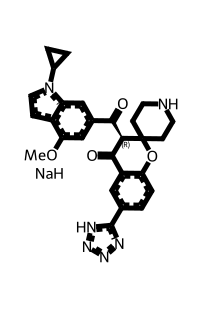 COc1cc(C(=O)[C@@H]2C(=O)c3cc(-c4nnn[nH]4)ccc3OC23CCNCC3)cc2c1ccn2C1CC1.[NaH]